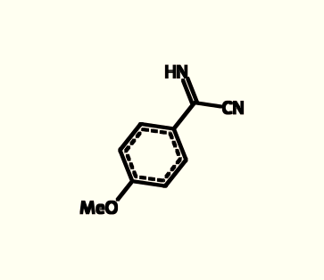 COc1ccc(C(=N)C#N)cc1